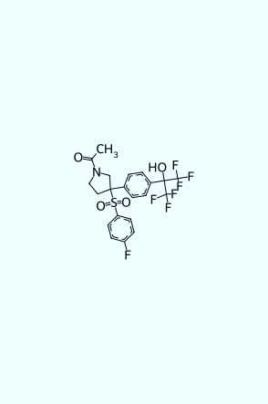 CC(=O)N1CCC(c2ccc(C(O)(C(F)(F)F)C(F)(F)F)cc2)(S(=O)(=O)c2ccc(F)cc2)C1